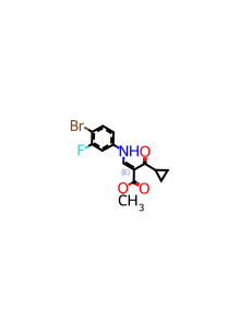 COC(=O)/C(=C/Nc1ccc(Br)c(F)c1)C(=O)C1CC1